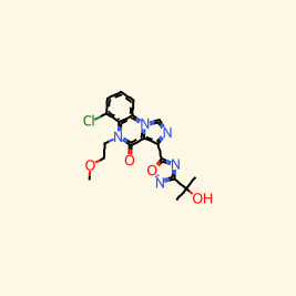 COCCn1c(=O)c2c(-c3nc(C(C)(C)O)no3)ncn2c2cccc(Cl)c21